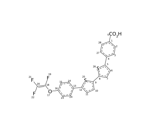 O=C(O)c1ccc(-c2ccc(-c3ccc(-c4ccc(OC(F)=C(F)F)cc4)s3)s2)cc1